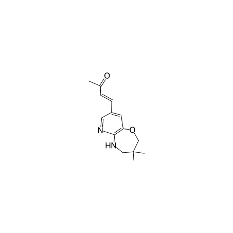 CC(=O)/C=C/c1cnc2c(c1)OCC(C)(C)CN2